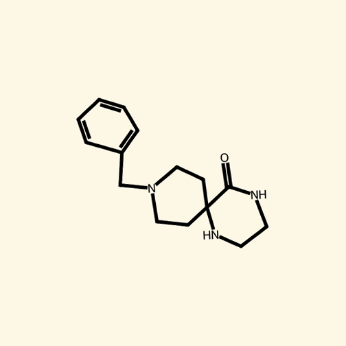 O=C1NCCNC12CCN(Cc1ccccc1)CC2